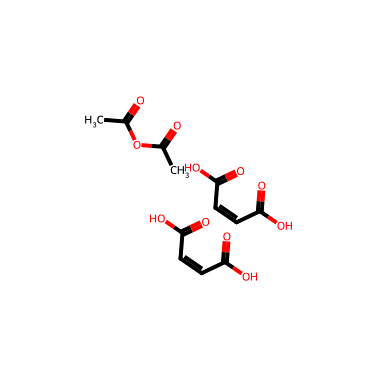 CC(=O)OC(C)=O.O=C(O)/C=C\C(=O)O.O=C(O)/C=C\C(=O)O